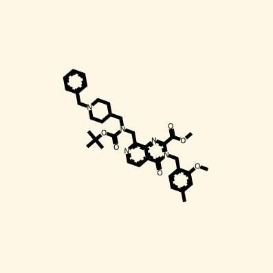 COC(=O)c1nc2c(CN(CC3CCN(Cc4ccccc4)CC3)C(=O)OC(C)(C)C)nccc2c(=O)n1Cc1ccc(C)cc1OC